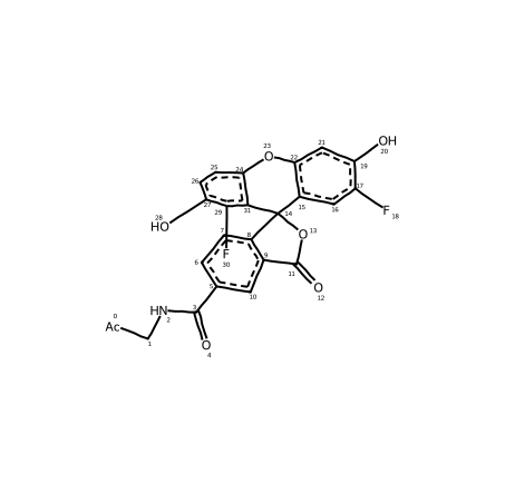 CC(=O)CNC(=O)c1ccc2c(c1)C(=O)OC21c2cc(F)c(O)cc2Oc2ccc(O)c(F)c21